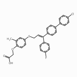 Cc1cc(SCC=C(c2ccc(F)cc2)c2ccc(-c3ccc(Cl)cc3)cc2)ccc1OCC(=O)O